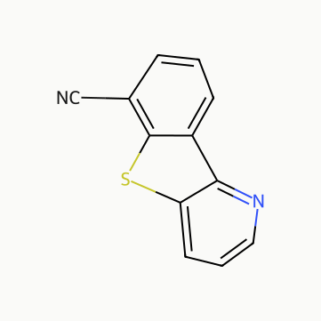 N#Cc1cccc2c1sc1cccnc12